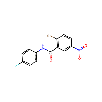 O=C(Nc1ccc(F)cc1)c1cc([N+](=O)[O-])ccc1Br